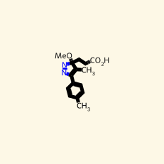 COC1(CCC(=O)O)N=NC(c2ccc(C)cc2)=C1C